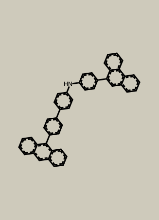 c1ccc2c(-c3ccc(-c4ccc(Nc5ccc(-c6cc7ccccc7c7ccccc67)cc5)cc4)cc3)c3ccccc3cc2c1